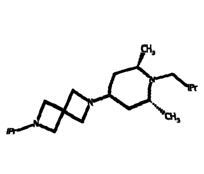 CC(C)CN1[C@H](C)CC(N2CC3(CN(C(C)C)C3)C2)C[C@H]1C